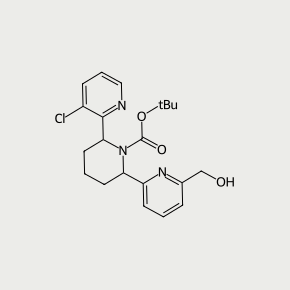 CC(C)(C)OC(=O)N1C(c2cccc(CO)n2)CCCC1c1ncccc1Cl